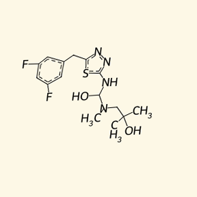 CN(CC(C)(C)O)C(O)Nc1nnc(Cc2cc(F)cc(F)c2)s1